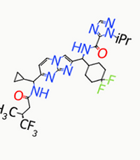 CC(C)n1ncnc1C(=O)N[C@H](c1cn2ccc(C(NC(=O)C[C@H](C)C(F)(F)F)C3CC3)nc2n1)C1CCC(F)(F)CC1